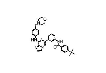 CC(C)(C)c1ccc(C(=O)Nc2cccc(-c3cn4ccnc4c(Nc4ccc(CN5CCOCC5)cc4)n3)c2)cc1